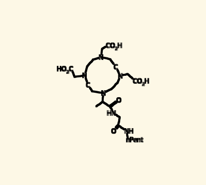 CCCCCNC(=O)CNC(=O)C(C)N1CCN(CC(=O)O)CCN(CC(=O)O)CCN(CC(=O)O)CC1